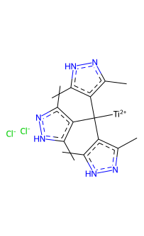 Cc1n[nH]c(C)c1[C]([Ti+2])(c1c(C)n[nH]c1C)c1c(C)n[nH]c1C.[Cl-].[Cl-]